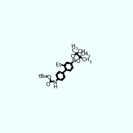 CCc1cc(B2OC(C)(C)C(C)(C)O2)ccc1-c1ccc(NC(=O)OC(C)(C)C)cc1